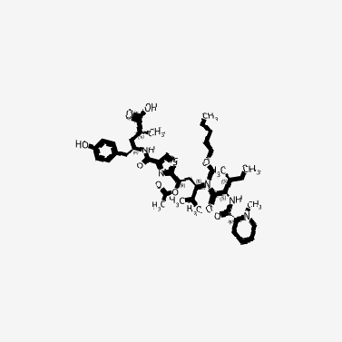 CCCCCOCN(C(=O)[C@@H](NC(=O)[C@H]1CCCCN1C)[C@@H](C)CC)[C@H](C[C@@H](OC(C)=O)c1nc(C(=O)N[C@@H](Cc2ccc(O)cc2)C[C@H](C)C(=O)O)cs1)C(C)C